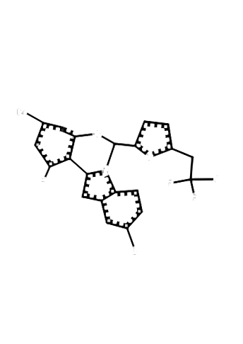 Fc1cc(Br)cc2c1-c1cc3cc(Br)ccc3n1C(c1ccc(CC(F)(F)F)s1)O2